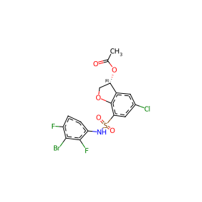 CC(=O)O[C@H]1COc2c1cc(Cl)cc2S(=O)(=O)Nc1ccc(F)c(Br)c1F